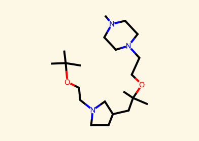 CN1CCN(CCOC(C)(C)CC2CCN(CCOC(C)(C)C)C2)CC1